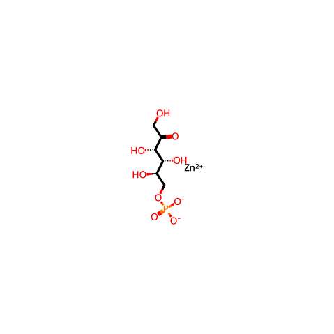 O=C(CO)[C@@H](O)[C@H](O)[C@H](O)COP(=O)([O-])[O-].[Zn+2]